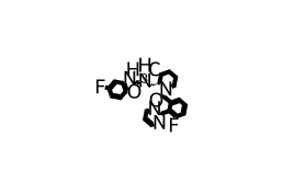 C[C@@H]1CCCN(C(=O)c2cccc(F)c2-c2ncccn2)[C@@H]1CNc1nc2cc(F)ccc2o1